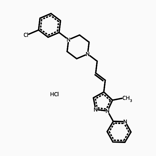 Cc1c(/C=C/CN2CCN(c3cccc(Cl)c3)CC2)cnn1-c1ccccn1.Cl